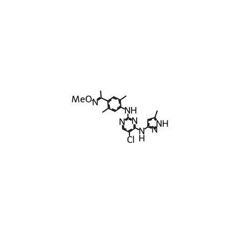 CON=C(C)c1cc(C)c(Nc2ncc(Cl)c(Nc3cc(C)[nH]n3)n2)cc1C